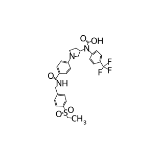 CCS(=O)(=O)c1ccc(CNC(=O)c2ccc(N3CCC(N(C(=O)O)c4ccc(C(F)(F)F)cc4)C3)cc2)cc1